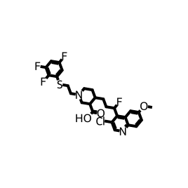 COc1ccc2ncc(Cl)c(C(F)CCC3CCN(CCSc4cc(F)cc(F)c4F)CC3C(=O)O)c2c1